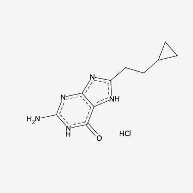 Cl.Nc1nc2nc(CCC3CC3)[nH]c2c(=O)[nH]1